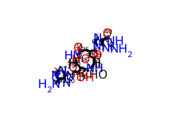 Nc1nc2c(ncn2[C@@H]2O[C@@H]3CNC(C=O)C4C(O)[C@H](n5cnc6c(N)ncnc65)O[C@@H]4CNC(=O)CC2C3O)c(=O)[nH]1